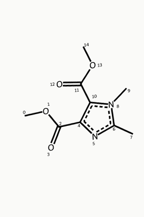 COC(=O)c1nc(C)n(C)c1C(=O)OC